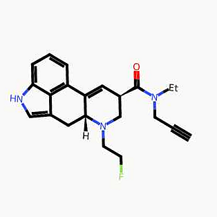 C#CCN(CC)C(=O)[C@@H]1C=C2c3cccc4[nH]cc(c34)C[C@H]2N(CCF)C1